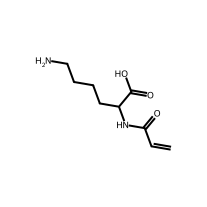 C=CC(=O)NC(CCCCN)C(=O)O